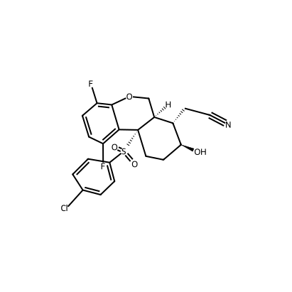 N#CC[C@@H]1[C@@H](O)CC[C@@]2(S(=O)(=O)c3ccc(Cl)cc3)c3c(F)ccc(F)c3OC[C@@H]12